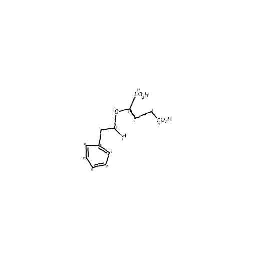 O=C(O)CCC(OC(S)Cc1ccccc1)C(=O)O